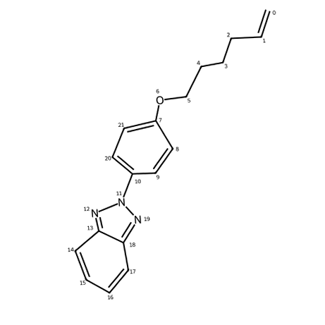 C=CCCCCOc1ccc(-n2nc3ccccc3n2)cc1